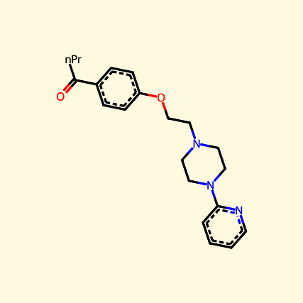 CCCC(=O)c1ccc(OCCN2CCN(c3ccccn3)CC2)cc1